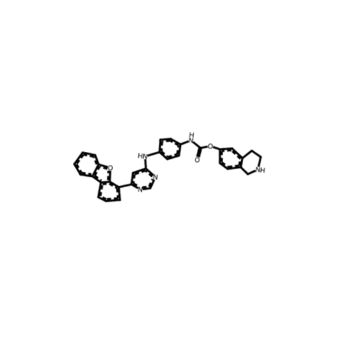 O=C(Nc1ccc(Nc2cc(-c3cccc4c3oc3ccccc34)ncn2)cc1)Oc1ccc2c(c1)CCNC2